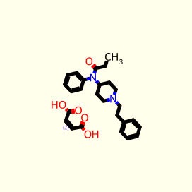 CCC(=O)N(c1ccccc1)C1CCN(CCc2ccccc2)CC1.O=C(O)/C=C\C(=O)O